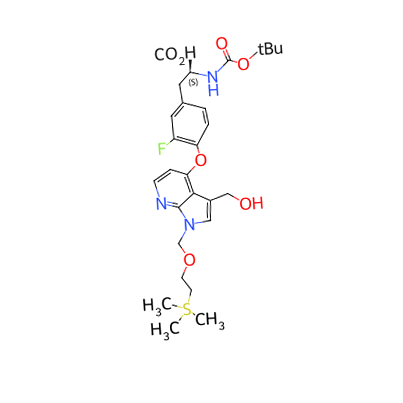 CC(C)(C)OC(=O)N[C@@H](Cc1ccc(Oc2ccnc3c2c(CO)cn3COCCS(C)(C)C)c(F)c1)C(=O)O